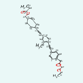 C=COCOCc1ccc(C#Cc2ccc(C#CC3CCC(COC(=O)C=C)CC3)cc2C)cc1